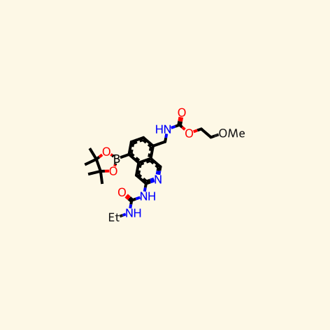 CCNC(=O)Nc1cc2c(B3OC(C)(C)C(C)(C)O3)ccc(CNC(=O)OCCOC)c2cn1